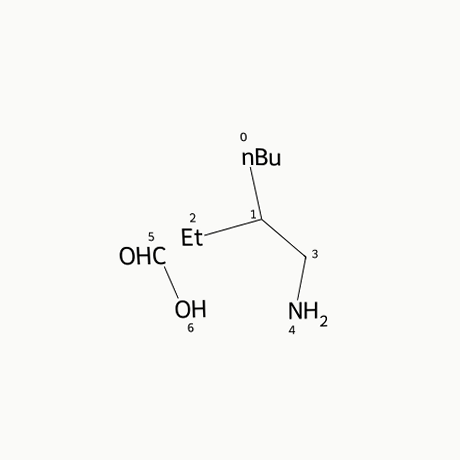 CCCCC(CC)CN.O=CO